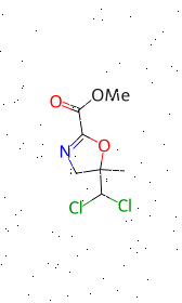 COC(=O)C1=N[CH]C(C)(C(Cl)Cl)O1